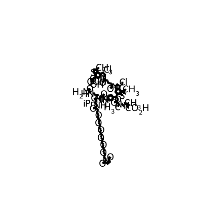 Cc1csc2c(OP(=O)(O)O)cc3c(c12)[C@H](CCl)CN3C(=O)CCCC(=O)N1C[C@@H](CCl)c2c1cc(C(OC(=O)N(C)CCN(C)C(=O)O)c1ccc(NC(=O)[C@H](CCCNC(N)=O)NC(=O)[C@@H](NC(=O)CCOCCOCCOCCOCCOCCOCCN3C(=O)C=CC3=O)C(C)C)cc1)c1scc(C)c21